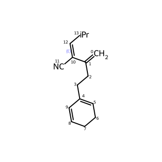 C=C(CCC1=CCCC=C1)/C(C#N)=C\C(C)C